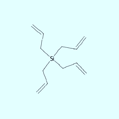 C=CC[Si](CC=C)(CC=C)CC=C